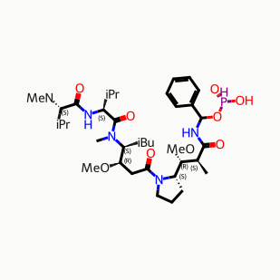 CCC(C)[C@@H]([C@@H](CC(=O)N1CCC[C@H]1[C@H](OC)[C@H](C)C(=O)NC(O[PH](=O)O)c1ccccc1)OC)N(C)C(=O)[C@@H](NC(=O)[C@@H](NC)C(C)C)C(C)C